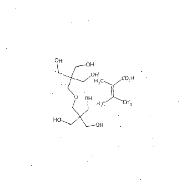 CC(C)=C(C)C(=O)O.OCC(CO)(CO)COCC(CO)(CO)CO